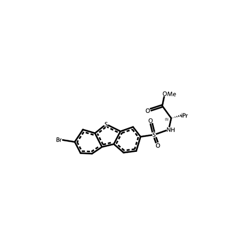 COC(=O)[C@@H](NS(=O)(=O)c1ccc2c(c1)sc1cc(Br)ccc12)C(C)C